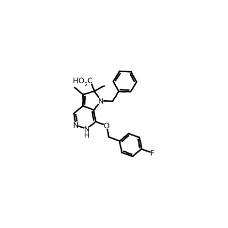 CC1=C2C=NNC(OCc3ccc(F)cc3)=C2N(Cc2ccccc2)C1(C)C(=O)O